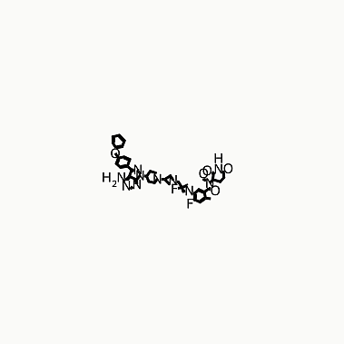 Cc1cc(F)c(N2CC(F)(CN3CC(N4CCC(n5nc(-c6ccc(Oc7ccccc7)cc6)c6c(N)ncnc65)CC4)C3)C2)cc1C(=O)N(C=O)C1CCC(=O)NC1=O